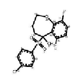 CC1(S(=O)(=O)c2ccc(Cl)cc2)CCCOc2c(F)ccc(F)c21